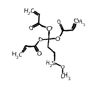 C=CC(=O)OC(CC[SiH2]OC)(OC(=O)C=C)OC(=O)C=C